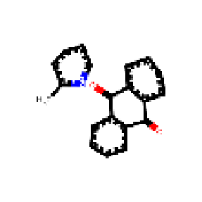 Cc1ccccn1.O=C1c2ccccc2C(=O)c2ccccc21